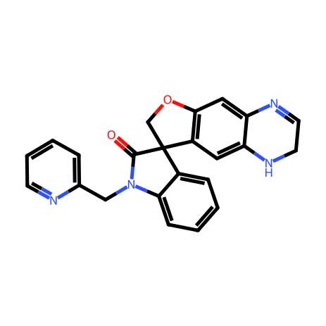 O=C1N(Cc2ccccn2)c2ccccc2C12COc1cc3c(cc12)NCC=N3